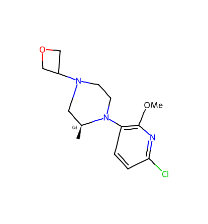 COc1nc(Cl)ccc1N1CCN(C2COC2)C[C@@H]1C